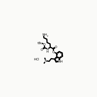 CN(C)CCc1c[nH]c2cccc(OC(=O)C(CCCCN)NC(=O)OC(C)(C)C)c12.Cl